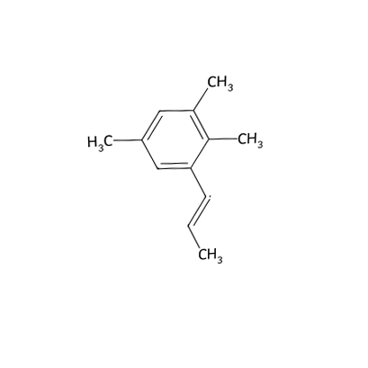 C/C=[C]/c1cc(C)cc(C)c1C